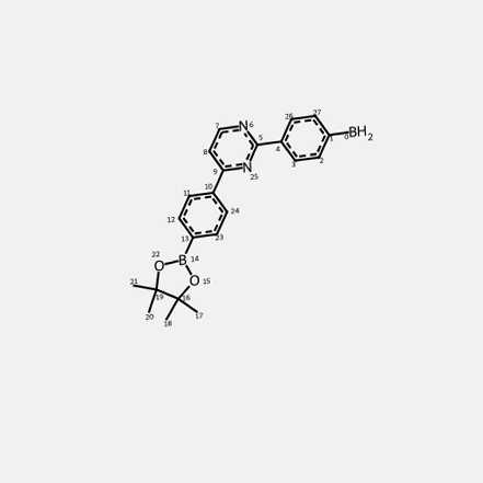 Bc1ccc(-c2nccc(-c3ccc(B4OC(C)(C)C(C)(C)O4)cc3)n2)cc1